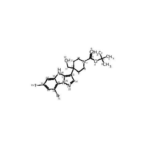 CC(C)(C)OC(=O)N1CCC(CO)(c2cnn3c2[nH]c2cc(F)cc(Br)c23)CC1